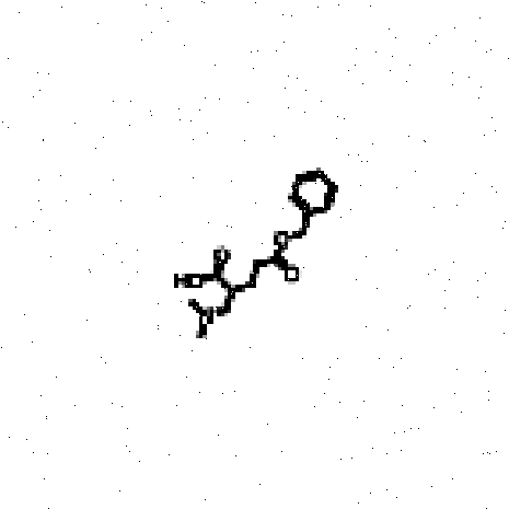 C[N+](C)=CC(CCC(=O)OCc1ccccc1)C(=O)O